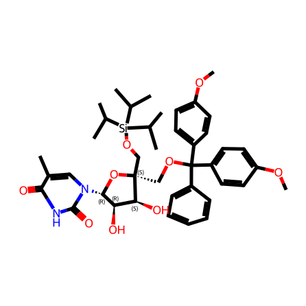 COc1ccc(C(OC[C@@]2(CO[Si](C(C)C)(C(C)C)C(C)C)O[C@@H](n3cc(C)c(=O)[nH]c3=O)[C@H](O)[C@@H]2O)(c2ccccc2)c2ccc(OC)cc2)cc1